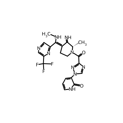 CN/C(=C1/CCN(C(=O)c2ncn(-c3ccc[nH]c3=O)n2)[C@@H](C)C1=N)c1cncc(C(F)(F)F)n1